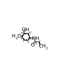 C=CC(=O)Nc1ccc(C)c(O)c1